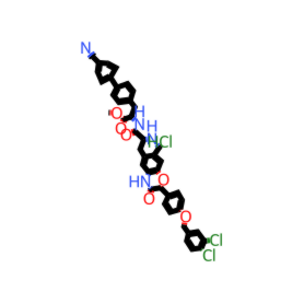 COC(=O)C(Cc1ccc(-c2ccc(C#N)cc2)cc1)NC(=O)C1Cc2cc3c(cc2CN1)OC(c1ccc(OCc2ccc(Cl)c(Cl)c2)cc1)C(=O)N3.Cl